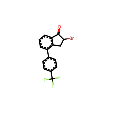 O=C1c2cccc(-c3ccc(C(F)(F)F)cc3)c2CC1Br